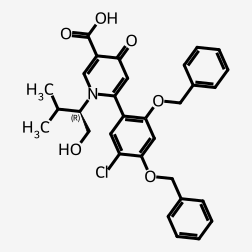 CC(C)[C@H](CO)n1cc(C(=O)O)c(=O)cc1-c1cc(Cl)c(OCc2ccccc2)cc1OCc1ccccc1